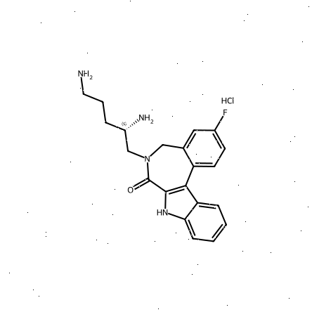 Cl.NCCC[C@H](N)CN1Cc2cc(F)ccc2-c2c([nH]c3ccccc23)C1=O